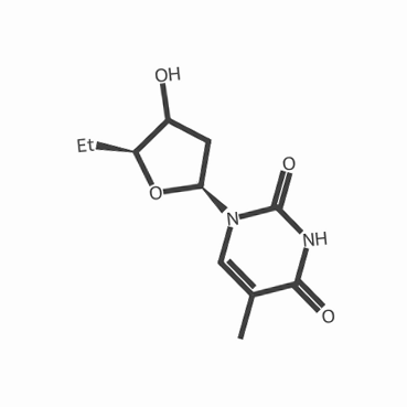 CC[C@@H]1O[C@H](n2cc(C)c(=O)[nH]c2=O)CC1O